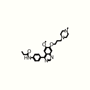 CCC(=O)Nc1ccc(-c2ncnc3cc(OCCCN4CCN(C)CC4)c(OC)cc23)cc1